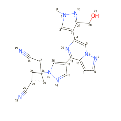 Cn1cc(-c2cn3nccc3c(-c3cnn(C4(CC#N)CC(C#N)C4)c3)n2)c(CO)n1